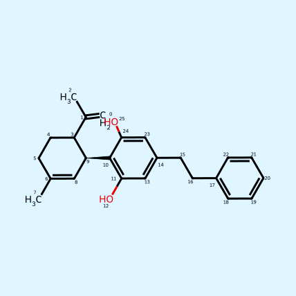 C=C(C)C1CCC(C)=C[C@@H]1c1c(O)cc(CCc2ccccc2)cc1O